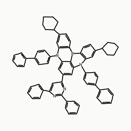 c1ccc(-c2ccc(N3c4cc(C5CCCCC5)ccc4B4c5ccc(C6CCCCC6)cc5N(c5ccc(-c6ccccc6)cc5)c5cc(-c6cc(-c7ccccc7)nc(-c7ccccc7)n6)cc3c54)cc2)cc1